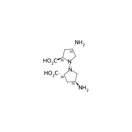 N[C@H]1C[C@H](C(=O)O)N(N2C[C@@H](N)C[C@@H]2C(=O)O)C1